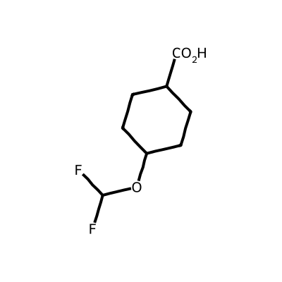 O=C(O)C1CCC(OC(F)F)CC1